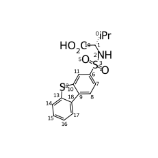 CC(C)[C@H](NS(=O)(=O)c1ccc2c(c1)sc1ccccc12)C(=O)O